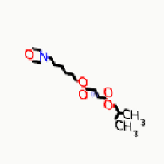 CCC(C)COC(=O)/C=C/C(=O)OCCCCCCN1CCOCC1